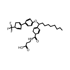 CCCCCCCCC(Oc1ccc(C2=CCC(C(F)(F)F)C=C2)cc1)C1=CCC(C(=O)NCCC(=O)O)C=C1